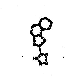 c1ccc2c(c1)ccc1nc(-c3nnn[nH]3)cn12